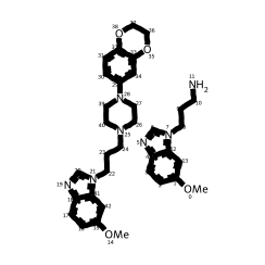 COc1ccc2ncn(CCCN)c2c1.COc1ccc2ncn(CCCN3CCN(c4ccc5c(c4)OCCO5)CC3)c2c1